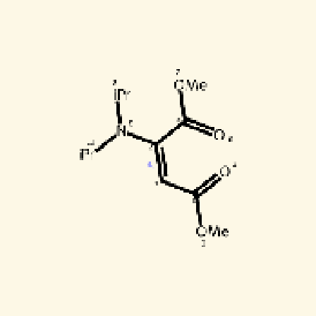 COC(=O)/C=C(\C(=O)OC)N(C(C)C)C(C)C